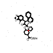 COC(=O)C1CCC(OC(F)(C(=O)C(c2ccc3ncoc3c2F)c2nccc3ccccc23)N2CCCC2)CC1